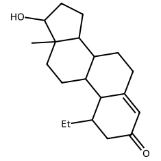 CCC1CC(=O)C=C2CCC3C(CCC4(C)C(O)CCC34)C21